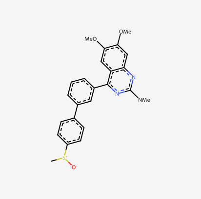 CNc1nc(-c2cccc(-c3ccc([S+](C)[O-])cc3)c2)c2cc(OC)c(OC)cc2n1